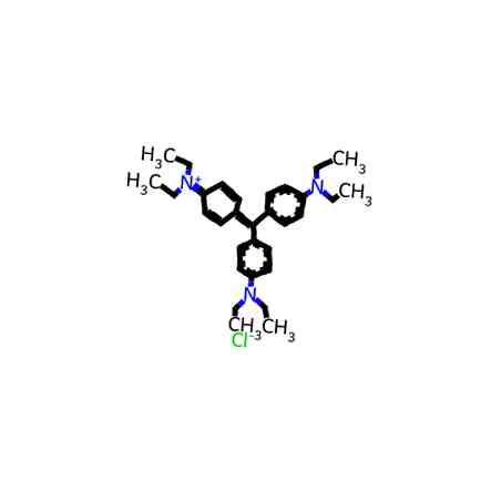 CCN(CC)c1ccc(C(=C2C=CC(=[N+](CC)CC)C=C2)c2ccc(N(CC)CC)cc2)cc1.[Cl-]